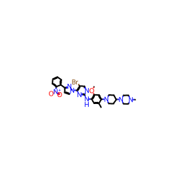 COc1cc(N2CCC(N3CCN(C)CC3)CC2)c(C)cc1Nc1ncc(Br)c(-n2ccc(-c3ccccc3[N+](=O)[O-])n2)n1